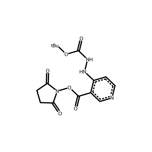 CC(C)(C)OC(=O)NNc1ccncc1C(=O)ON1C(=O)CCC1=O